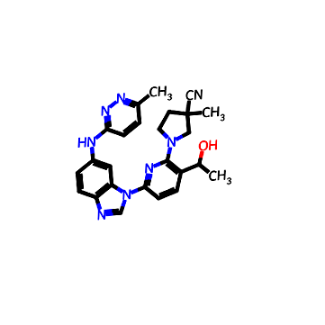 Cc1ccc(Nc2ccc3ncn(-c4ccc(C(C)O)c(N5CCC(C)(C#N)C5)n4)c3c2)nn1